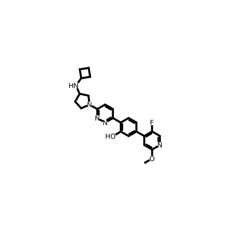 COc1cc(-c2ccc(-c3ccc(N4CCC(NC5CCC5)C4)nn3)c(O)c2)c(F)cn1